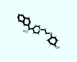 CC(c1ccc2ccccc2c1)C1CCN(CCOc2ccc(O)cc2)CC1